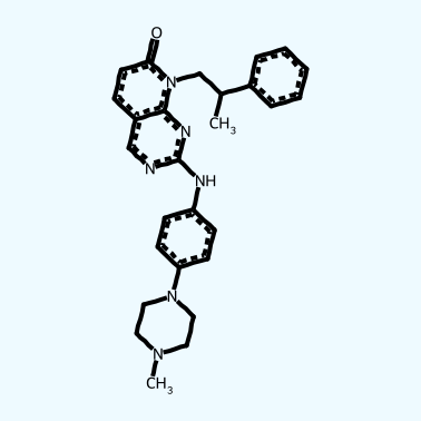 CC(Cn1c(=O)ccc2cnc(Nc3ccc(N4CCN(C)CC4)cc3)nc21)c1ccccc1